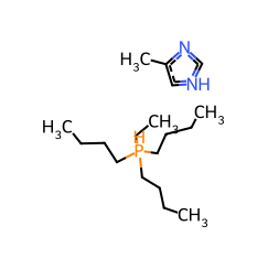 CCCC[PH](CC)(CCCC)CCCC.Cc1c[nH]cn1